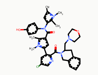 Cc1c(N(C(=O)c2cc(-c3cc(Cl)cnc3C(=O)N3Cc4ccccc4CC3CN3CCOCC3)n(C)c2C)c2ccc(O)cc2)cc(C#N)n1C